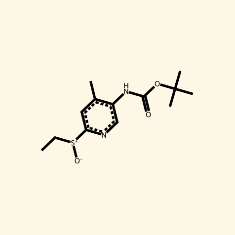 CC[S+]([O-])c1cc(C)c(NC(=O)OC(C)(C)C)cn1